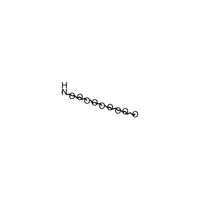 CNCCOCCOCCOCCOCCOCCOCCOCCOCCC=O